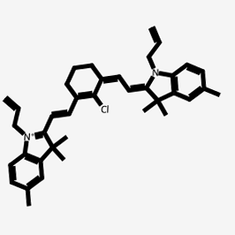 C=CCN1C(=CC=C2CCCC(C=CC3=[N+](CC=C)c4ccc(C)cc4C3(C)C)=C2Cl)C(C)(C)c2cc(C)ccc21